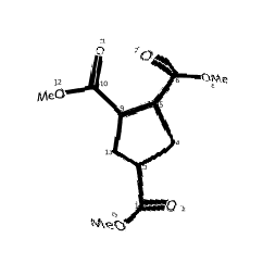 COC(=O)C1CC(C(=O)OC)C(C(=O)OC)C1